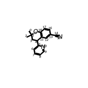 CC1(C)CC(c2ccccn2)c2cc(C#N)ccc2O1